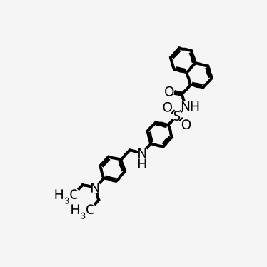 CCN(CC)c1ccc(CNc2ccc(S(=O)(=O)NC(=O)c3cccc4ccccc34)cc2)cc1